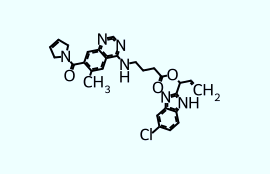 C=CC(OC(=O)CCCNc1ncnc2cc(C(=O)N3CC=CC3)c(C)cc12)c1nc2cc(Cl)ccc2[nH]1